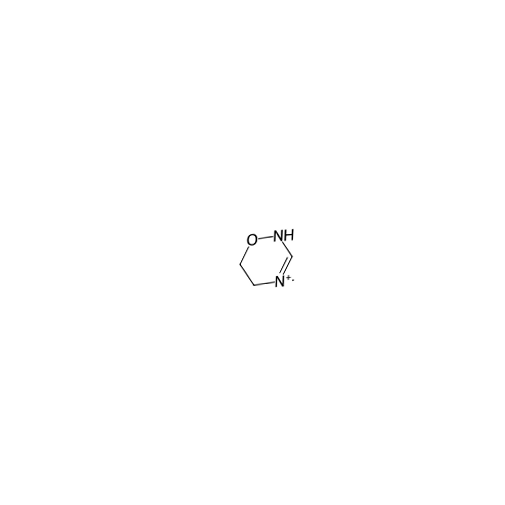 C1=[N+]CCON1